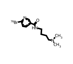 CN(C)CCCCNC(=O)c1ccc([76Br])nc1